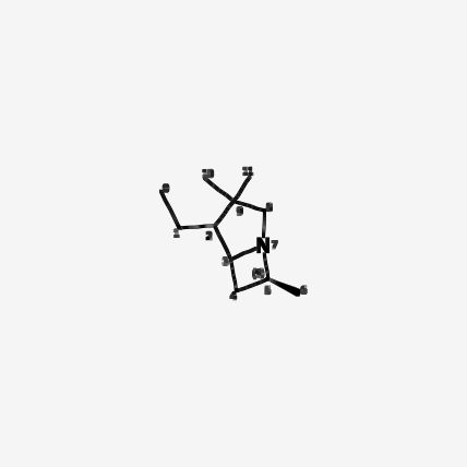 CCC1C2C[C@H](C)N2CC1(C)C